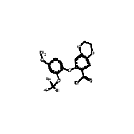 [2H]C([2H])([2H])Oc1cc(OC(F)(F)F)ccc1Oc1cc2c(cc1C(=O)Cl)OCCO2